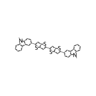 Cn1c2ccccc2c2cc(-c3cc4sc(-c5cc6sc(-c7ccc8c(c7)c7ccccc7n8C)cc6s5)cc4s3)ccc21